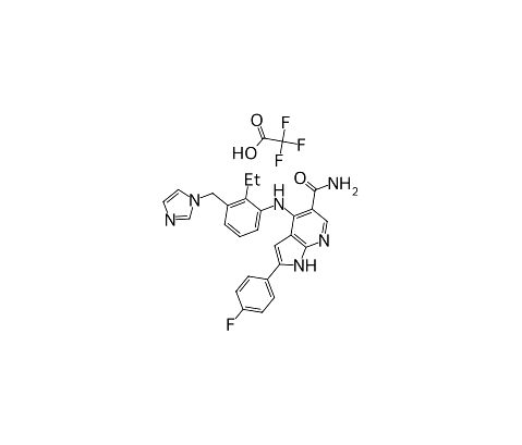 CCc1c(Cn2ccnc2)cccc1Nc1c(C(N)=O)cnc2[nH]c(-c3ccc(F)cc3)cc12.O=C(O)C(F)(F)F